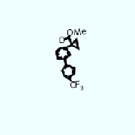 COC(=O)C1(c2cccc(-c3ccc(C(F)(F)F)cc3)c2)CC1